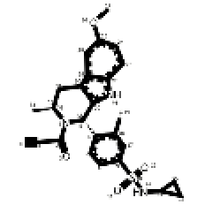 C#CC(=O)N1[C@@H](c2ccc(S(=O)(=O)NC3CC3)cc2F)c2[nH]c3ccc(OC)cc3c2C[C@@H]1C